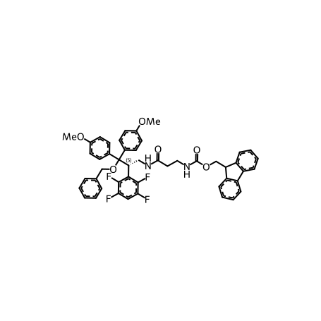 COc1ccc(C(OCc2ccccc2)(c2ccc(OC)cc2)[C@H](CNC(=O)CCNC(=O)OCC2c3ccccc3-c3ccccc32)c2c(F)c(F)cc(F)c2F)cc1